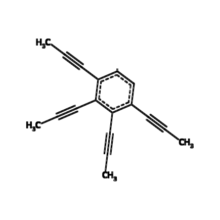 CC#Cc1[c]cc(C#CC)c(C#CC)c1C#CC